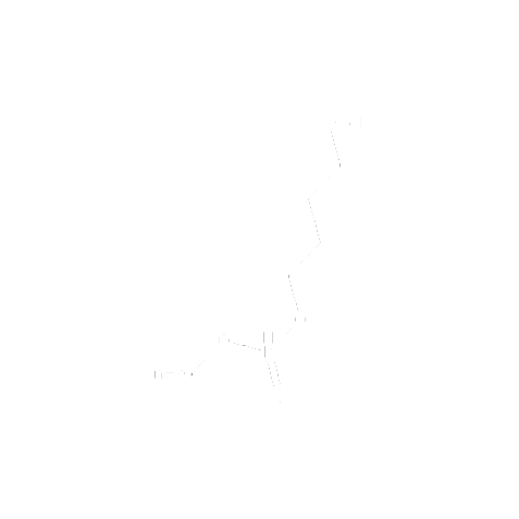 CCCCCCCCCCCCO[PH](=O)OCCCCCC